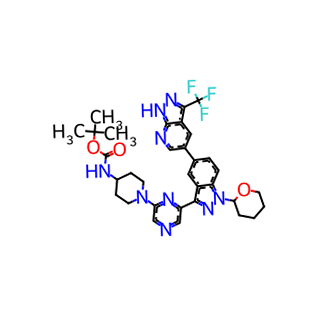 CC(C)(C)OC(=O)NC1CCN(c2cncc(-c3nn(C4CCCCO4)c4ccc(-c5cnc6[nH]nc(C(F)(F)F)c6c5)cc34)n2)CC1